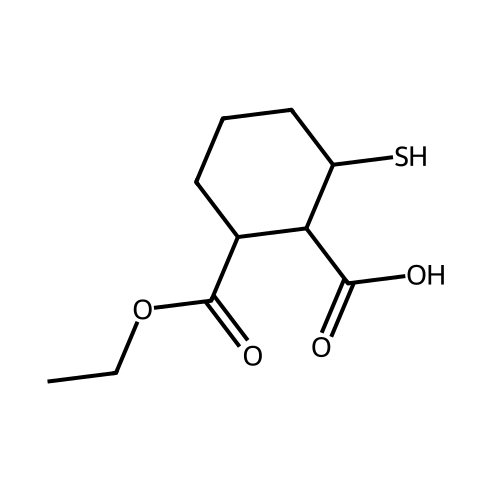 CCOC(=O)C1CCCC(S)C1C(=O)O